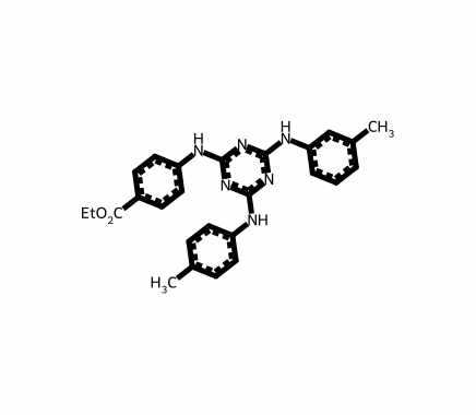 CCOC(=O)c1ccc(Nc2nc(Nc3ccc(C)cc3)nc(Nc3cccc(C)c3)n2)cc1